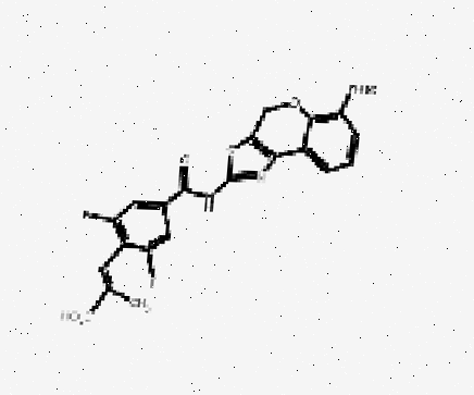 CCCCCCc1cccc2c1OCc1sc(NC(=O)c3cc(F)c(C=C(C)C(=O)O)c(F)c3)nc1-2